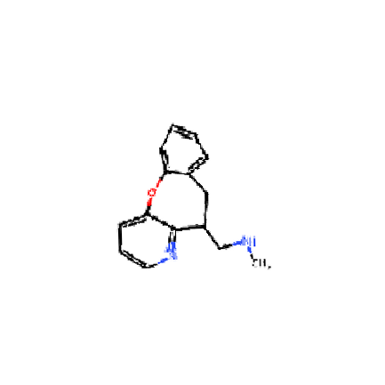 CNCC1Cc2ccccc2Oc2cccnc21